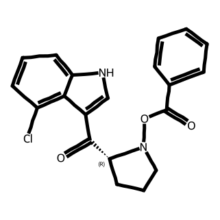 O=C(ON1CCC[C@@H]1C(=O)c1c[nH]c2cccc(Cl)c12)c1ccccc1